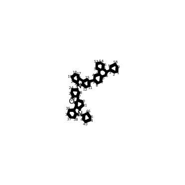 c1ccc(C2Cc3ccc(-c4ccc5c(c4)c4ccccc4n5-c4ccc5oc6c(ccc7c6c6ccccc6n7-c6ccccc6)c5c4)cc3-c3ccccc32)cc1